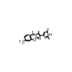 Cc1nc(-c2nnn([C@H](C)c3ccc(C(F)(F)F)cc3Cl)c2C)cc(=O)[nH]1